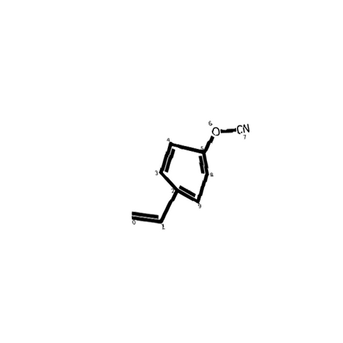 C=Cc1ccc(OC#N)cc1